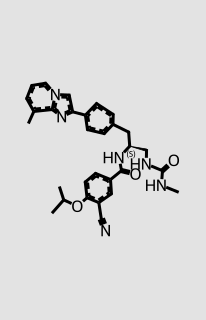 CNC(=O)NC[C@H](Cc1ccc(-c2cn3cccc(C)c3n2)cc1)NC(=O)c1ccc(OC(C)C)c(C#N)c1